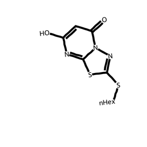 CCCCCCSc1nn2c(=O)cc(O)nc2s1